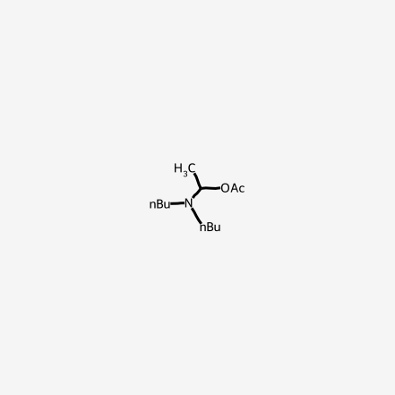 CCCCN(CCCC)C(C)OC(C)=O